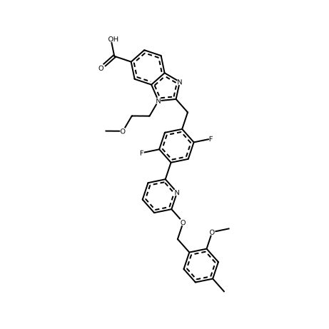 COCCn1c(Cc2cc(F)c(-c3cccc(OCc4ccc(C)cc4OC)n3)cc2F)nc2ccc(C(=O)O)cc21